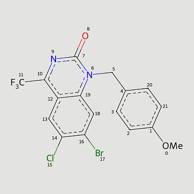 COc1ccc(Cn2c(=O)nc(C(F)(F)F)c3cc(Cl)c(Br)cc32)cc1